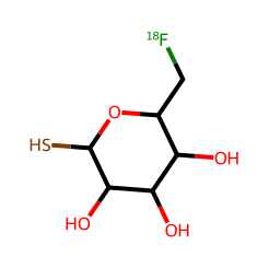 OC1C(S)OC(C[18F])C(O)C1O